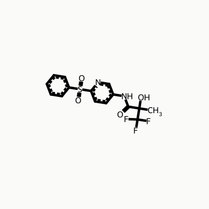 CC(O)(C(=O)Nc1ccc(S(=O)(=O)c2ccccc2)nc1)C(F)(F)F